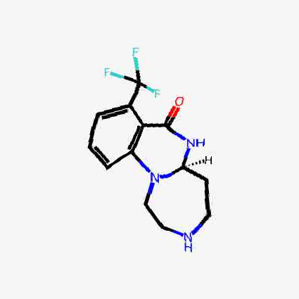 O=C1N[C@H]2CCNCCN2c2cccc(C(F)(F)F)c21